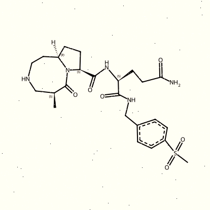 C[C@H]1CNCC[C@H]2CC[C@@H](C(=O)N[C@@H](CCC(N)=O)C(=O)NCc3ccc(S(C)(=O)=O)cc3)N2C1=O